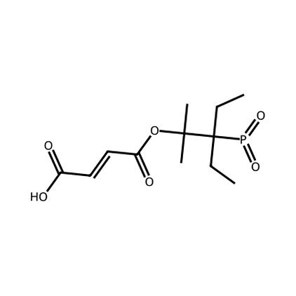 CCC(CC)(P(=O)=O)C(C)(C)OC(=O)C=CC(=O)O